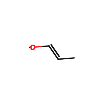 C/C=C/[O]